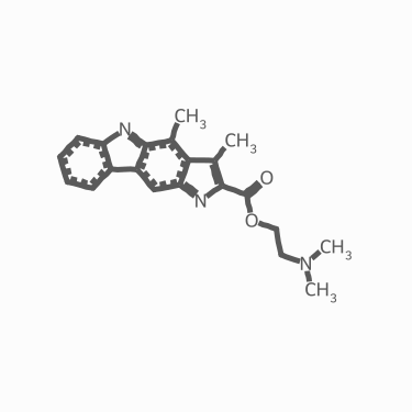 CC1=C(C(=O)OCCN(C)C)N=c2cc3c(c(C)c21)=Nc1ccccc1-3